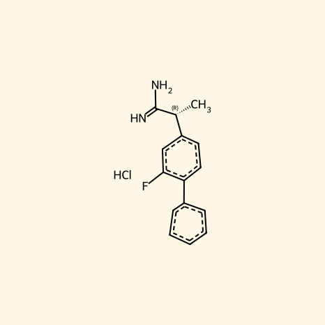 C[C@@H](C(=N)N)c1ccc(-c2ccccc2)c(F)c1.Cl